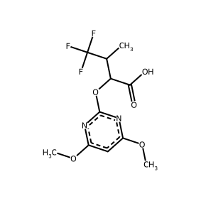 COc1cc(OC)nc(OC(C(=O)O)C(C)C(F)(F)F)n1